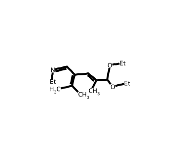 CC/N=C\C(/C=C(\C)C(OCC)OCC)=C(C)C